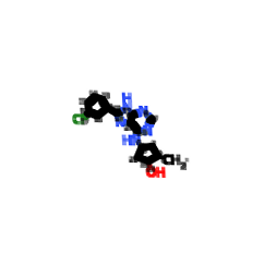 [CH2][C@H]1C[C@@H](Nc2ncnc3[nH]c(-c4cccc(Cl)c4)nc23)C[C@@H]1O